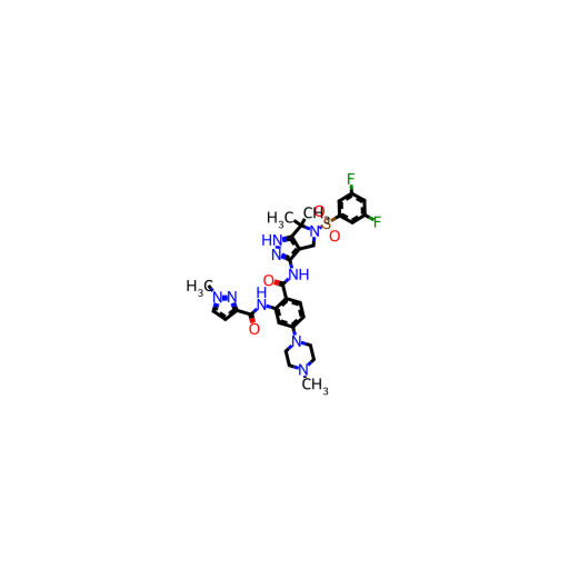 CN1CCN(c2ccc(C(=O)Nc3n[nH]c4c3CN(S(=O)(=O)c3cc(F)cc(F)c3)C4(C)C)c(NC(=O)c3ccn(C)n3)c2)CC1